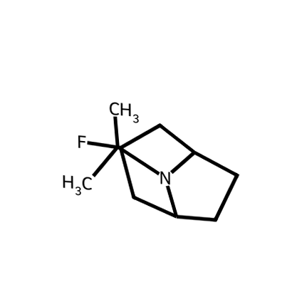 CC(C)N1C2CCC1CC(F)C2